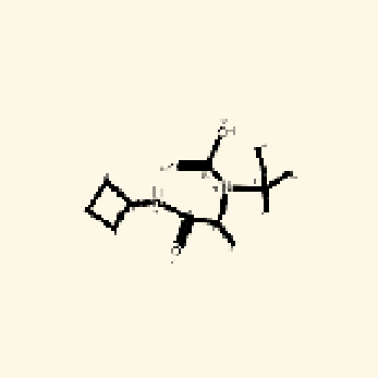 CC(C(=O)NC1CCC1)N(C(=O)O)C(C)(C)C